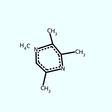 C.Cc1cnc(C)c(C)n1